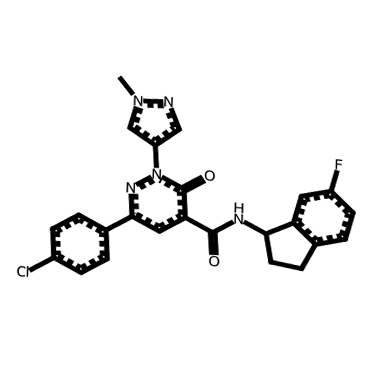 Cn1cc(-n2nc(-c3ccc(Cl)cc3)cc(C(=O)NC3CCc4ccc(F)cc43)c2=O)cn1